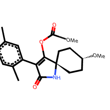 COC(=O)OC1=C(c2cc(C)ccc2C)C(=O)N[C@]12CC[C@@H](OC)CC2